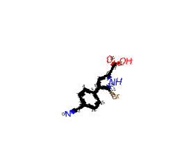 N#Cc1ccc(-c2cc(C(=O)O)[nH]c2Br)cc1